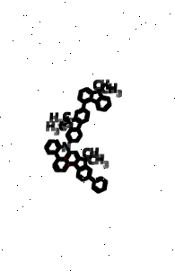 CC1(C)c2cc(-c3ccccc3)ccc2-c2ccc(N(C3=CC4=C(CC3)c3ccc(-c5cccc6c5-c5ccccc5C6(C)C)cc3S4(C)C)c3ccccc3-c3c#cccc3)cc21